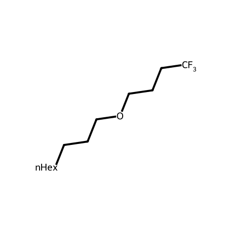 [CH2]CCCCCCCCOCCCC(F)(F)F